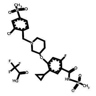 CS(=O)(=O)NC(=O)c1cc(C2CC2)c(O[C@@H]2CCCN(Cc3ccc(S(C)(=O)=O)cc3Cl)C2)cc1F.O=C(O)C(F)(F)F